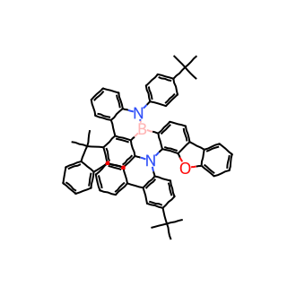 CC(C)(C)c1ccc(N2B3c4ccc5c(oc6ccccc65)c4N(c4ccc(C(C)(C)C)cc4-c4ccccc4)c4cc5c(c(c43)-c3ccccc32)C(C)(C)c2ccccc2-5)cc1